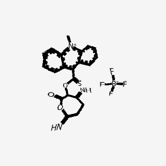 C[n+]1c2ccccc2c(C(=S)OC2C(=N)CCC(=N)OC2=O)c2ccccc21.F[B-](F)(F)F